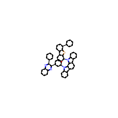 c1ccc(-c2nc3ccccc3nc2-c2cccc(-n3c4ccccc4c4ccc5c6ccccc6n(-c6cccc7c6sc6c(-c8ccccc8)cccc67)c5c43)c2)cc1